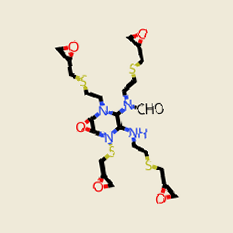 O=CN(CCSCC1CO1)C1C(NCCSCC2CO2)N(SCC2CO2)C2OC2N1CCSCC1CO1